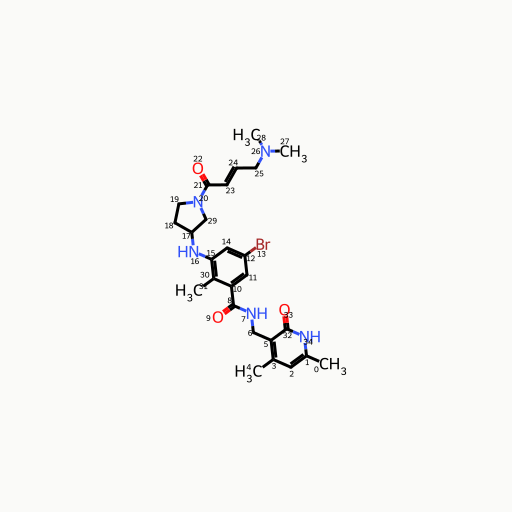 Cc1cc(C)c(CNC(=O)c2cc(Br)cc(NC3CCN(C(=O)/C=C/CN(C)C)C3)c2C)c(=O)[nH]1